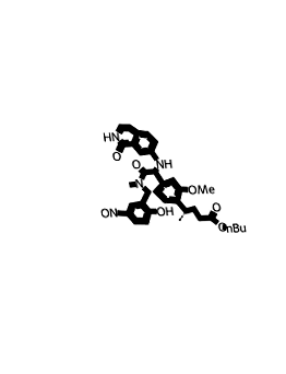 CCCCOC(=O)CC[C@H](C)c1ccc(C(Nc2ccc3cc[nH]c(=O)c3c2)C(=O)N(C)Cc2cc(N=O)ccc2O)cc1OC